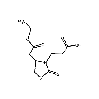 CCOC(=O)CC1CSC(=S)N1CCC(=O)O